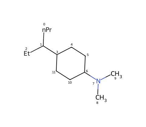 CCCC(CC)C1CCC(N(C)C)CC1